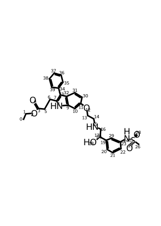 CCOC(=O)CCc1[nH]c2cc(OCCNC[C@H](O)c3cccc(NS(C)(=O)=O)c3)ccc2c1-c1ccccc1